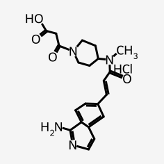 CN(C(=O)/C=C/c1ccc2c(N)nccc2c1)C1CCN(C(=O)CC(=O)O)CC1.Cl